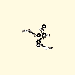 COCCCCOc1ccc([C@@H]2[C@@H](OCc3ccc4c(c3)N(CCCOC)CCO4)CNC[C@H]2OCC(=O)N2CCCC2)cc1